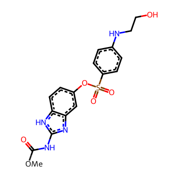 COC(=O)Nc1nc2cc(OS(=O)(=O)c3ccc(NCCO)cc3)ccc2[nH]1